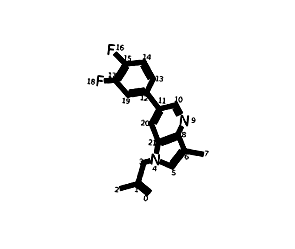 C=C(C)Cn1cc(C)c2ncc(-c3ccc(F)c(F)c3)cc21